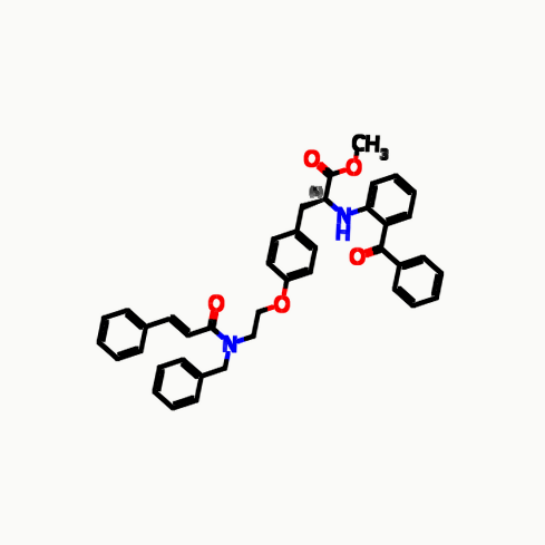 COC(=O)[C@H](Cc1ccc(OCCN(Cc2ccccc2)C(=O)C=Cc2ccccc2)cc1)Nc1ccccc1C(=O)c1ccccc1